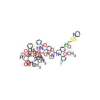 COc1ccc(F)cc1/C(=N/[C@H](CCCCCC(=O)CCSSc1ccccn1)C(=O)N1CCCC1C(=O)O[C@@H](C(=O)O[C@H]1C[C@]2(O)[C@@H](OC(=O)c3ccccc3)[C@@H]3[C@]4(OC(C)=O)CO[C@@H]4C[C@H](O)[C@@]3(C)C(=O)[C@H](C)C(=C1C)C2(C)C)[C@@H](NC(=O)c1ccccc1)c1ccccc1)c1ccc(Cl)cc1